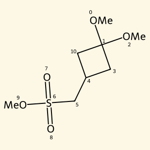 COC1(OC)CC(CS(=O)(=O)OC)C1